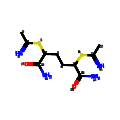 CC(=N)SC(CCC(SC(C)=N)C(N)=O)C(N)=O